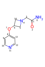 NC(=O)CN1CC(Oc2ccncc2)C1